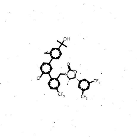 Cc1cc(C(C)(C)O)ccc1-c1ccc(Cl)c(-c2ccc(C(F)(F)F)cc2CN2C(=O)O[C@H](c3cc(C(F)(F)F)cc(C(F)(F)F)c3)[C@@H]2C)c1